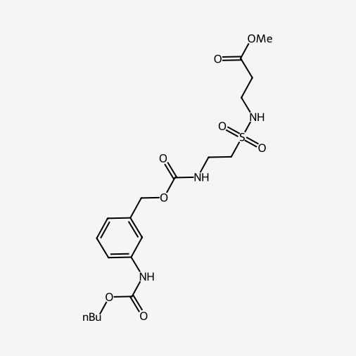 CCCCOC(=O)Nc1cccc(COC(=O)NCCS(=O)(=O)NCCC(=O)OC)c1